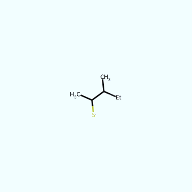 CCC(C)C(C)[S]